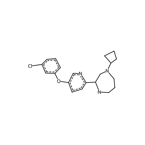 Clc1cccc(Oc2ccc(C3CN(C4CCC4)CCC[N]3)nc2)c1